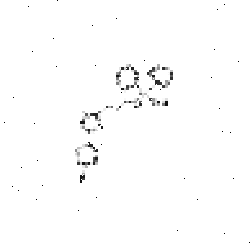 CC(C)(C)[Si](OCCCc1nc(-c2ccc(F)cc2)cs1)(c1ccccc1)c1ccccc1